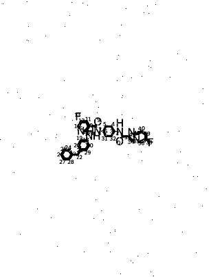 O=C(N[C@H]1CC[C@@H](NC(=O)c2cc(F)cnc2Nc2ccc(Cc3ccccc3)cc2)CC1)c1cn2cc(F)ccc2n1